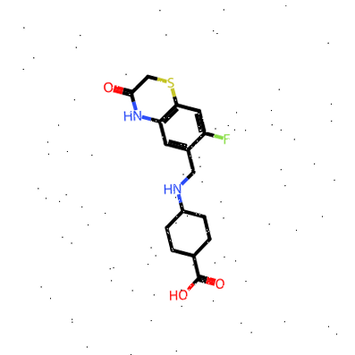 O=C1CSc2cc(F)c(CNC3CCC(C(=O)O)CC3)cc2N1